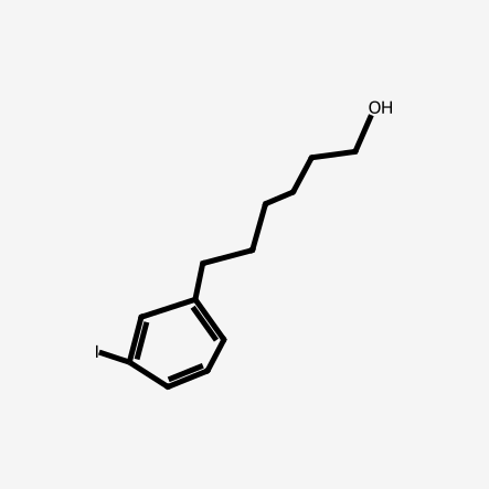 OCCCCCCc1cccc(I)c1